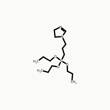 CCCO[Si](CCCN1C=NCC1)(OCCC)OCCC